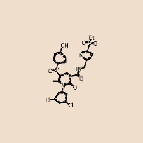 CCS(=O)(=O)c1ccc(CNC(=O)c2cc([S+]([O-])c3ccc(C#N)cc3)c(C)n(-c3cc(Cl)cc(Cl)c3)c2=O)nc1